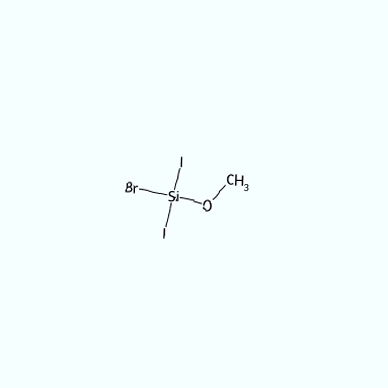 CO[Si](Br)(I)I